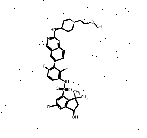 COCCN1CCC(Nc2ncc3cc(-c4c(F)ccc(NS(=O)(=O)c5cc(Cl)cc6c5C(C)(C)CC6O)c4F)ccc3n2)CC1